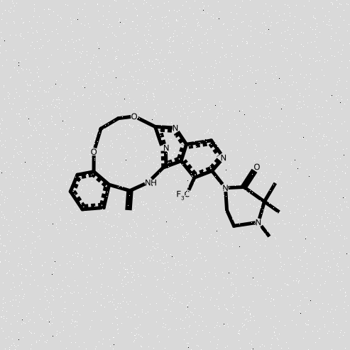 C=C1Nc2nc(nc3cnc(N4CCN(C)C(C)(C)C4=O)c(C(F)(F)F)c23)OCCOc2ccccc21